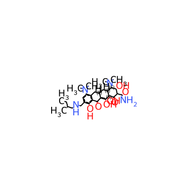 CCC(C)CNCc1cc(N(C)C)c2c(c1O)C(=O)C1=C(O)[C@]3(O)C(=O)C(C(N)=O)C(O)[C@@H](N(C)C)[C@@H]3C[C@@H]1C2